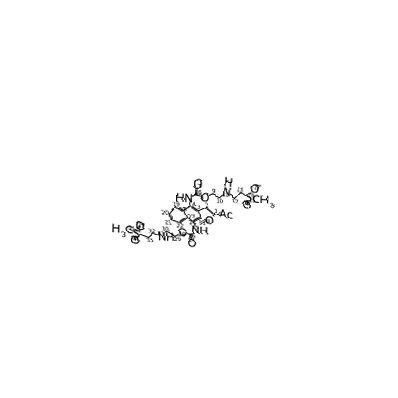 CC(=O)c1cc2c(NC(=O)OCCNCCS(C)(=O)=O)c3ccccc3c(NC(=O)OCCNCCS(C)(=O)=O)c2o1